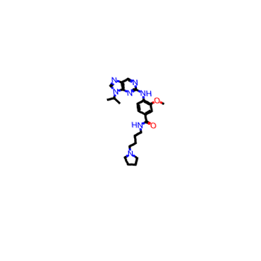 COc1cc(C(=O)NCCCCN2CCCC2)ccc1Nc1ncc2ncn(C(C)C)c2n1